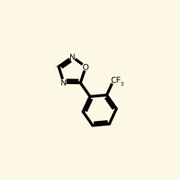 FC(F)(F)c1ccccc1-c1n[c]no1